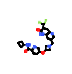 O=C(NC1CCC1)c1ccc(OC2CN(Cc3cnc4cc(C(F)F)c(=O)[nH]c4c3)C2)cn1